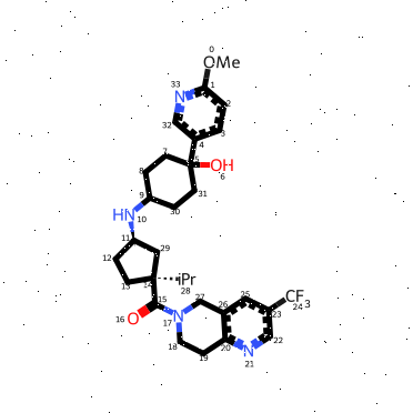 COc1ccc(C2(O)CCC(N[C@@H]3CC[C@@](C(=O)N4CCc5ncc(C(F)(F)F)cc5C4)(C(C)C)C3)CC2)cn1